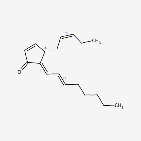 CC/C=C\C[C@H]1C=CC(=O)/C1=C/C=C/CCCCC